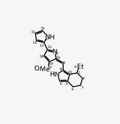 CCC1CCCc2c[nH]c(/C=C3/N=C(c4ccc[nH]4)C=C3OC)c21